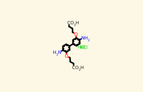 Cl.Cl.Nc1ccc(-c2ccc(N)c(OCCCC(=O)O)c2)cc1OCCCC(=O)O